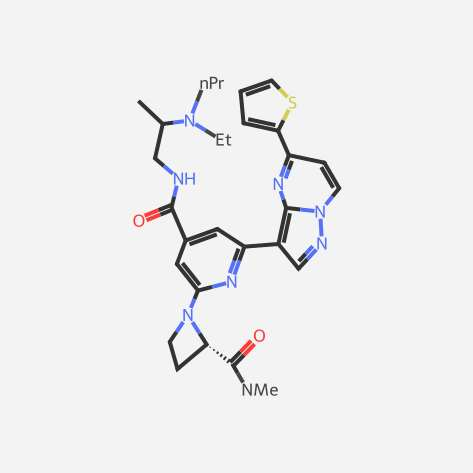 CCCN(CC)C(C)CNC(=O)c1cc(-c2cnn3ccc(-c4cccs4)nc23)nc(N2CC[C@H]2C(=O)NC)c1